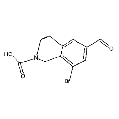 O=Cc1cc(Br)c2c(c1)CCN(C(=O)O)C2